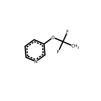 CC(F)(F)Oc1[c]nccc1